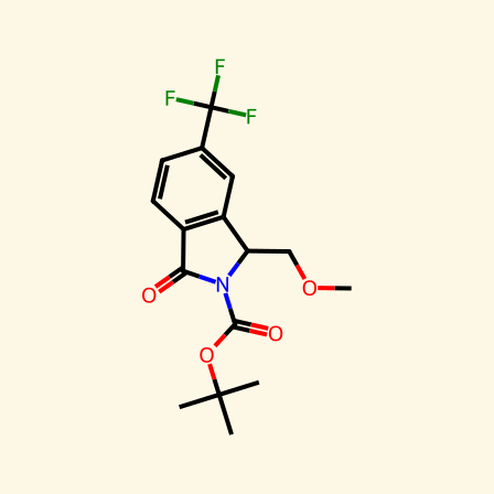 COCC1c2cc(C(F)(F)F)ccc2C(=O)N1C(=O)OC(C)(C)C